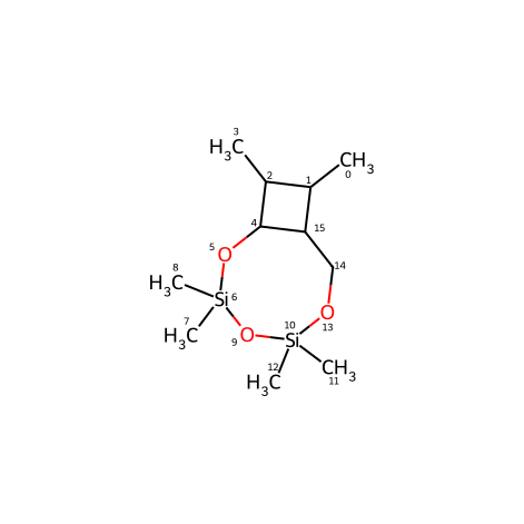 CC1C(C)C2O[Si](C)(C)O[Si](C)(C)OCC12